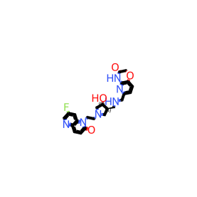 O=C1COc2ccc(CNC[C@H]3CN(CCn4c(=O)ccc5ncc(F)cc54)C[C@H]3O)nc2N1